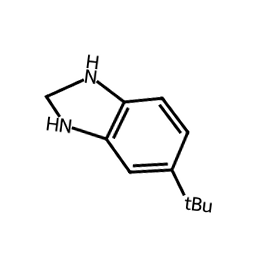 CC(C)(C)c1ccc2c(c1)NCN2